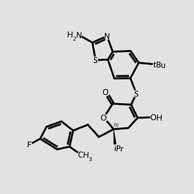 Cc1cc(F)ccc1CC[C@@]1(C(C)C)CC(O)=C(Sc2cc3sc(N)nc3cc2C(C)(C)C)C(=O)O1